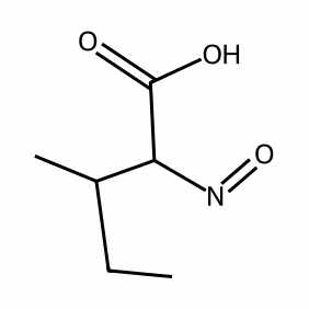 CCC(C)C(N=O)C(=O)O